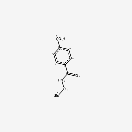 CC(C)(C)ONC(=O)c1ccc(C(=O)O)cc1